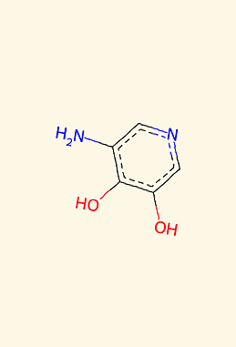 Nc1cncc(O)c1O